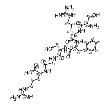 N=C(N)NCCC[C@H](NC(=O)CNC(=O)[C@H](CO)NC(=O)[C@H](Cc1ccccc1)NC(=O)[C@H](CCCNC(=N)N)NC(=O)[C@@H](N)CO)C(=O)O